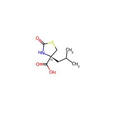 CC(C)C[C@]1(C(=O)O)CSC(=O)N1